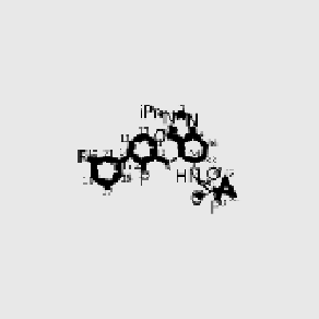 CC(C)n1cnc2c(c1=O)[C@@H](Cc1cccc(-c3cccc(F)c3)c1F)[C@@H](NS(=O)(=O)C1(F)CC1)CC2